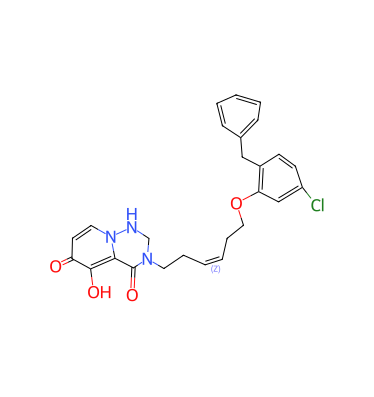 O=C1c2c(O)c(=O)ccn2NCN1CC/C=C\CCOc1cc(Cl)ccc1Cc1ccccc1